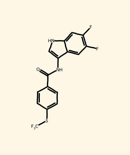 O=C(Nc1c[nH]c2cc(F)c(F)cc12)c1ccc(SC(F)(F)F)cc1